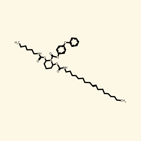 CCCCCCCCC=CCCCCCCCCNC(=O)OC1CCCC(OC(=O)NCCCCCC)N1C(=O)Oc1ccc(Oc2ccccc2)cc1